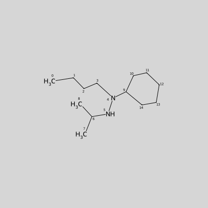 CCCCN(NC(C)C)C1CCCCC1